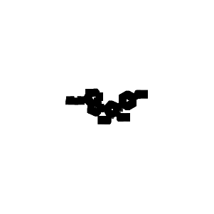 CNc1ncnc2c1ccn2[C@@H]1C[C@H](c2ccc(O)cc2)[C@@H](O)[C@H]1O